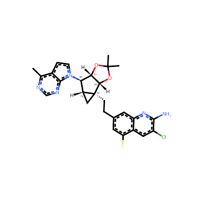 Cc1ncnc2c1ccn2[C@H]1[C@@H]2OC(C)(C)O[C@@H]2[C@@]2(CCc3cc(F)c4cc(Cl)c(N)nc4c3)C[C@H]12